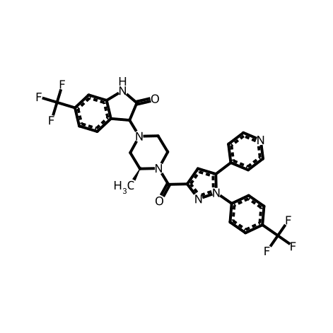 C[C@H]1CN(C2C(=O)Nc3cc(C(F)(F)F)ccc32)CCN1C(=O)c1cc(-c2ccncc2)n(-c2ccc(C(F)(F)F)cc2)n1